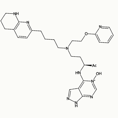 CC(=O)[C@H](CCN(CCCCc1ccc2c(n1)NCCC2)CCOc1ccccn1)Nc1c2cn[nH]c2nc[n+]1O